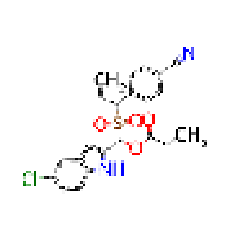 C=CC(c1ccc(C#N)cc1)S(=O)(=O)C(OC(=O)CC)c1cc2cc(Cl)ccc2[nH]1